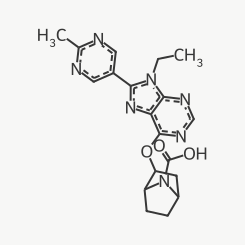 CCn1c(-c2cnc(C)nc2)nc2c(OC3CC4CCC3N4C(=O)O)ncnc21